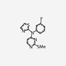 CSc1nccc(N(c2cccc(F)c2)c2nccs2)n1